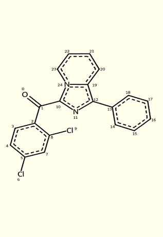 O=C(c1ccc(Cl)cc1Cl)c1nc(-c2ccccc2)c2ccccn12